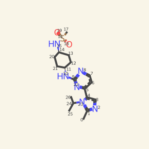 Cc1ncc(-c2ccnc(N[C@H]3CC[C@H](NS(C)(=O)=O)CC3)n2)n1C(C)C